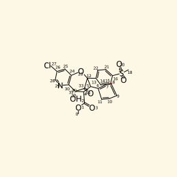 COC(=O)C1C(c2ccccc2)C2(c3ccc(S(C)(=O)=O)cc3)Oc3cc(Cl)cnc3[C@@]1(O)C2=O